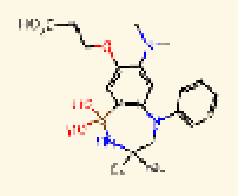 CCCC[C@]1(CC)CN(c2ccccc2)c2cc(N(C)C)c(OCCC(=O)O)cc2S(O)(O)N1